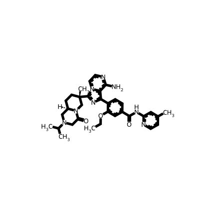 CCOc1cc(C(=O)Nc2cc(C)ccn2)ccc1-c1nc([C@@]2(C)CC[C@@H]3CN(C(C)C)CC(=O)N3C2)n2ccnc(N)c12